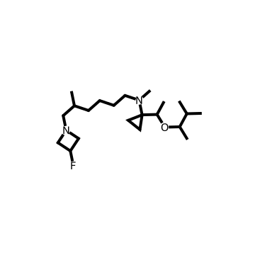 CC(CCCCN(C)C1(C(C)OC(C)C(C)C)CC1)CN1CC(F)C1